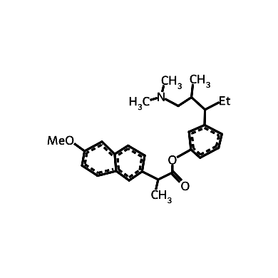 CCC(c1cccc(OC(=O)C(C)c2ccc3cc(OC)ccc3c2)c1)C(C)CN(C)C